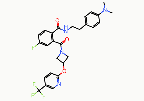 CN(C)c1ccc(CCNC(=O)c2ccc(F)cc2C(=O)N2CC(Oc3ccc(C(F)(F)F)cn3)C2)cc1